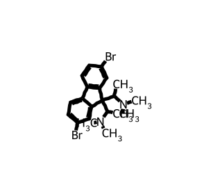 CC(N(C)C)C1(C(C)N(C)C)c2cc(Br)ccc2-c2ccc(Br)cc21